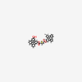 Cc1ccc(C2(c3ccc(OC(=O)c4ccc(C(=O)Oc5ccc(C6(c7ccc(O)cc7)c7ccccc7-c7ccccc76)cc5)s4)cc3)c3ccccc3-c3ccccc32)cc1